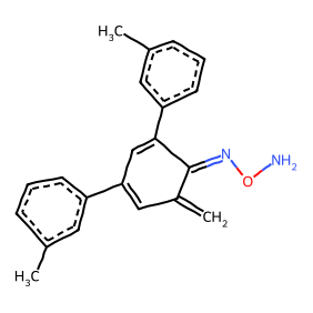 C=C1C=C(c2cccc(C)c2)C=C(c2cccc(C)c2)/C1=N/ON